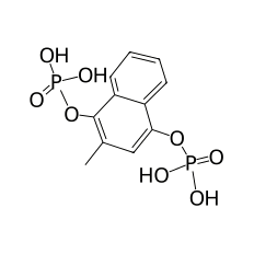 Cc1cc(OP(=O)(O)O)c2ccccc2c1OP(=O)(O)O